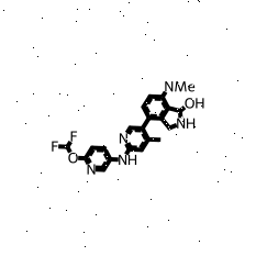 CNc1ccc(-c2cnc(Nc3ccc(OC(F)F)nc3)cc2C)c2c1C(O)NC2